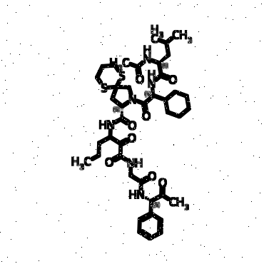 CCCC(NC(=O)[C@@H]1CC2(CN1C(=O)[C@@H](NC(=O)[C@H](CC(C)C)NC(C)=O)C1CCCCC1)SCCCS2)C(=O)C(=O)NCC(=O)N[C@H](C(C)=O)c1ccccc1